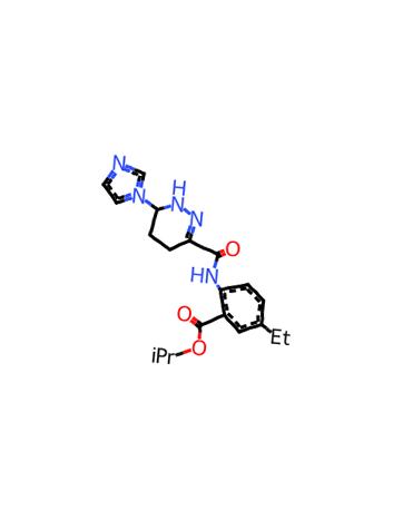 CCc1ccc(NC(=O)C2=NNC(n3ccnc3)CC2)c(C(=O)OC(C)C)c1